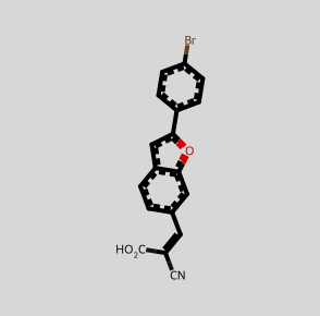 N#CC(=Cc1ccc2cc(-c3ccc(Br)cc3)oc2c1)C(=O)O